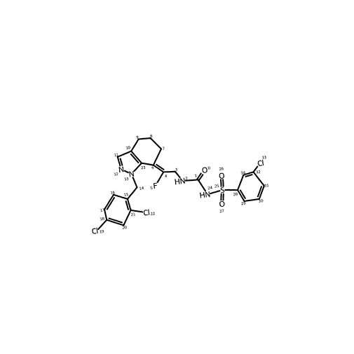 O=C(NCC(F)=C1CCCc2cnn(Cc3ccc(Cl)cc3Cl)c21)NS(=O)(=O)c1cccc(Cl)c1